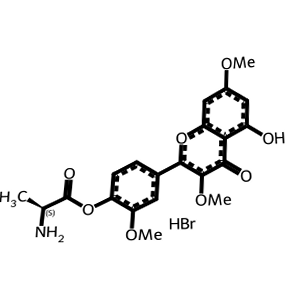 Br.COc1cc(O)c2c(=O)c(OC)c(-c3ccc(OC(=O)[C@H](C)N)c(OC)c3)oc2c1